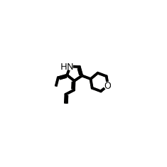 C=C/C=c1/c(C2CCOCC2)c[nH]/c1=C/C